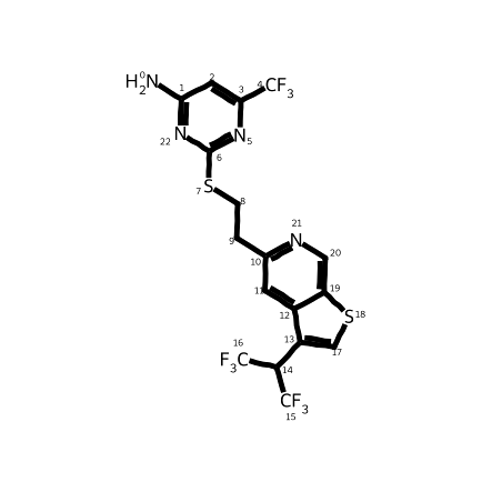 Nc1cc(C(F)(F)F)nc(SCCc2cc3c(C(C(F)(F)F)C(F)(F)F)csc3cn2)n1